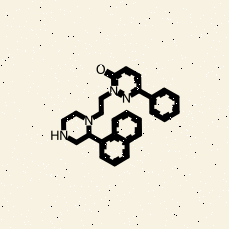 O=c1ccc(-c2ccccc2)nn1CCN1CCNCC1c1cccc2ccccc12